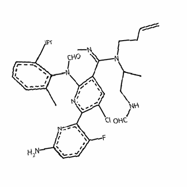 C=CCCN(/C(=N/C)c1cc(Cl)c(-c2nc(N)ccc2F)nc1N(C=O)c1c(C)cccc1C(C)C)C(C)CNC=O